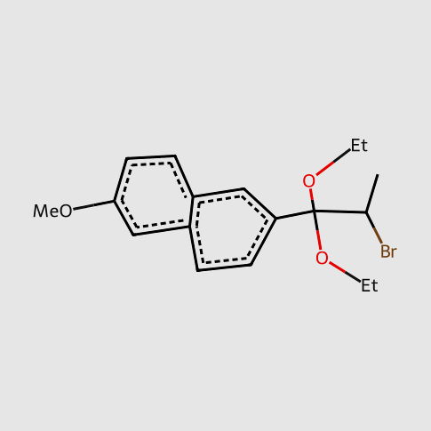 CCOC(OCC)(c1ccc2cc(OC)ccc2c1)C(C)Br